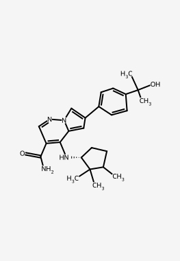 CC1CC[C@@H](Nc2c(C(N)=O)cnn3cc(-c4ccc(C(C)(C)O)cc4)cc23)C1(C)C